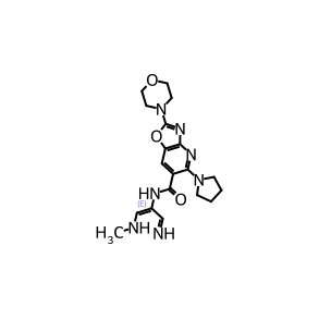 CN/C=C(\C=N)NC(=O)c1cc2oc(N3CCOCC3)nc2nc1N1CCCC1